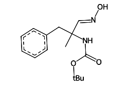 CC(C=NO)(Cc1ccccc1)NC(=O)OC(C)(C)C